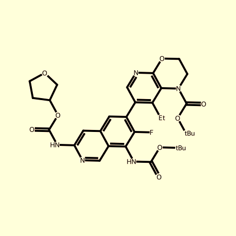 CCc1c(-c2cc3cc(NC(=O)OC4CCOC4)ncc3c(NC(=O)OC(C)(C)C)c2F)cnc2c1N(C(=O)OC(C)(C)C)CCO2